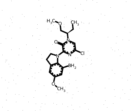 Bc1cc(OC)cc2c1N(c1nc(Cl)cn([C@H](CC)COC)c1=O)CC2